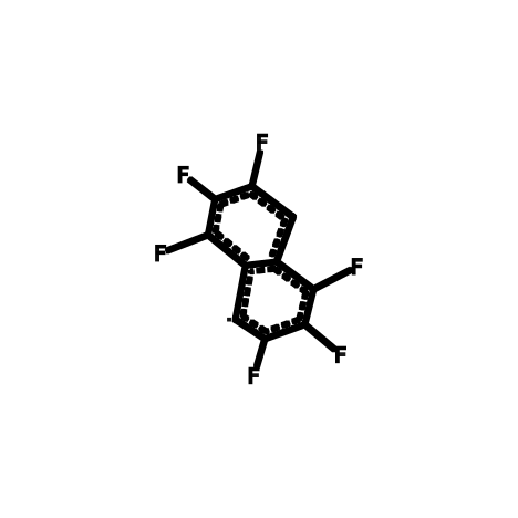 Fc1[c]c2c(F)c(F)c(F)cc2c(F)c1F